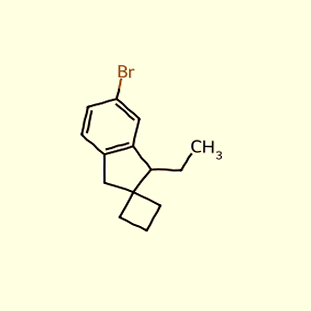 CCC1c2cc(Br)ccc2CC12CCC2